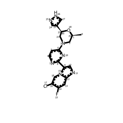 C[C@H]1CN(c2ccnc(-c3cnc4cc(F)c(Cl)cn34)n2)C[C@@H](c2cn[nH]c2)O1